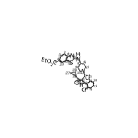 CCOC(=O)c1ccc2nc(NC3CCN(Cc4c(-c5c(Cl)cccc5Cl)noc4C4CC4)CC3)sc2c1